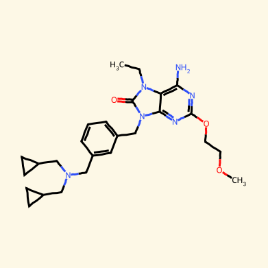 CCn1c(=O)n(Cc2cccc(CN(CC3CC3)CC3CC3)c2)c2nc(OCCOC)nc(N)c21